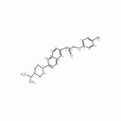 CN(C)C1CCN(c2ncc3cc(NC(=O)COc4ccc(Br)cc4)ccc3n2)CC1